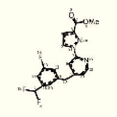 COC(=O)c1ccn(-c2cc(Cc3cc(F)cc(C(F)F)c3)ccn2)n1